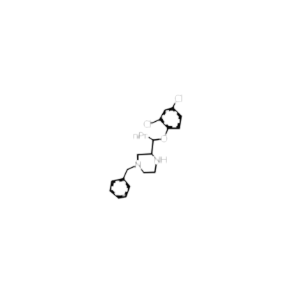 CCCC(Oc1ccc(Cl)cc1Cl)C1CN(Cc2ccccc2)CCN1